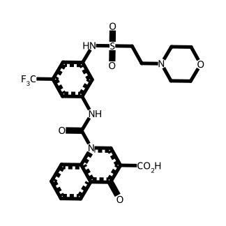 O=C(O)c1cn(C(=O)Nc2cc(NS(=O)(=O)CCN3CCOCC3)cc(C(F)(F)F)c2)c2ccccc2c1=O